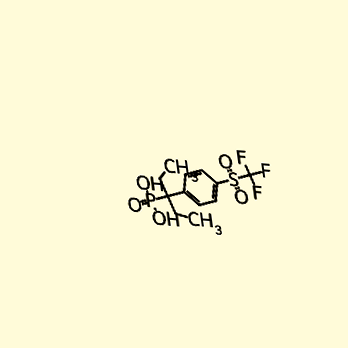 CCC(CC)(c1ccc(S(=O)(=O)C(F)(F)F)cc1)P(=O)(O)O